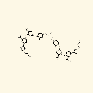 CNC(=O)c1nc(-c2cnn(CCCO)c2)ccc1Nc1nc(Nc2ccc(CO[PH](=O)OCc3ccc(Nc4ncc(C(F)(F)F)c(Nc5ccc(-c6cnn(CCCO)c6)nc5C(=O)NC)n4)c(Cl)c3)cc2Cl)ncc1C(F)(F)F